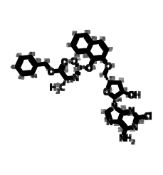 C[C@@H](N=[P+]([O-])Oc1c(OC[C@@H]2C[C@@H](O)[C@H](n3cnc4c(N)nc(Cl)nc43)O2)ccc2ccccc12)C(=O)OCc1ccccc1